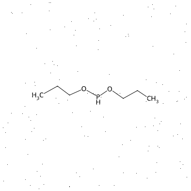 CCCOPOCCC